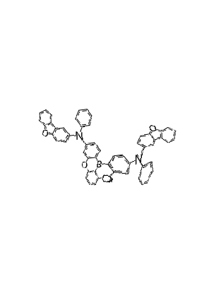 c1ccc(N(c2ccc3c(c2)Oc2cccc4c2B3c2ccc(N(c3ccccc3)c3ccc5oc6ccccc6c5c3)cc2O4)c2ccc3oc4ccccc4c3c2)cc1